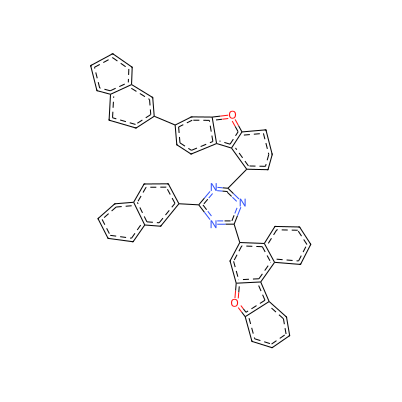 c1ccc2cc(-c3ccc4c(c3)oc3cccc(-c5nc(-c6ccc7ccccc7c6)nc(-c6cc7oc8ccccc8c7c7ccccc67)n5)c34)ccc2c1